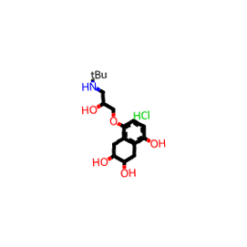 CC(C)(C)NCC(O)COc1ccc(O)c2c1CC(O)C(O)C2.Cl